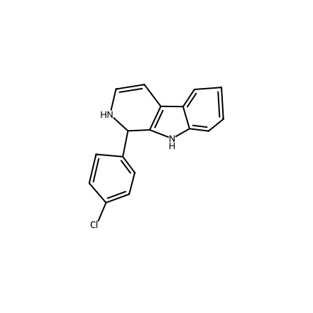 Clc1ccc(C2NC=Cc3c2[nH]c2ccccc32)cc1